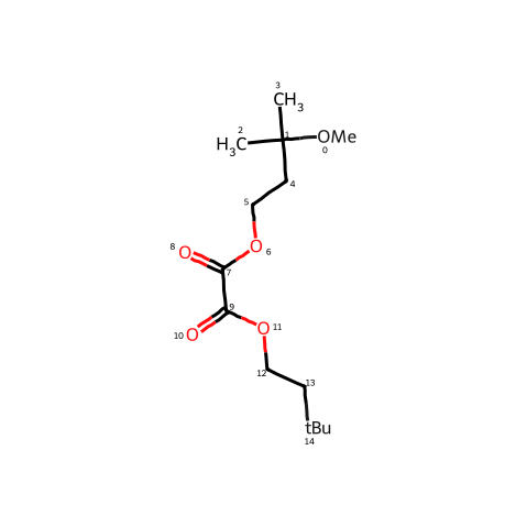 COC(C)(C)CCOC(=O)C(=O)OCCC(C)(C)C